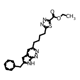 CCOC(=O)c1nnc(CCCCc2cc3cc(Cc4ccccc4)[nH]c3nn2)s1